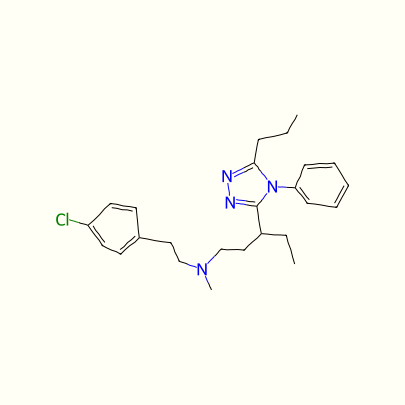 CCCc1nnc(C(CC)CCN(C)CCc2ccc(Cl)cc2)n1-c1ccccc1